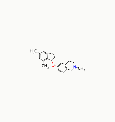 Cc1cc(C)c2c(c1)CCC2Oc1ccc2c(c1)CCN(C)C2